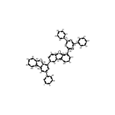 c1ccc(-c2cc(-c3ccc4oc5c(-c6nc(-c7ccccc7)nc(-c7ccccc7)n6)cccc5c4c3)c3oc4ccccc4c3c2)cc1